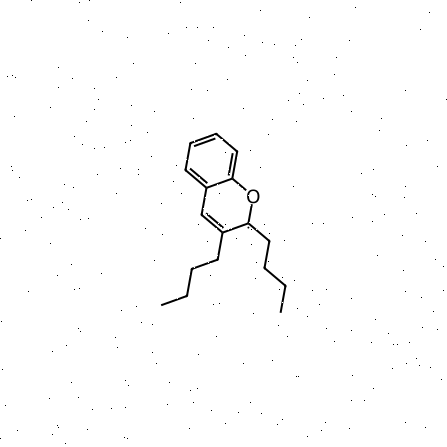 CCCC[C]1Oc2ccccc2C=C1CCCC